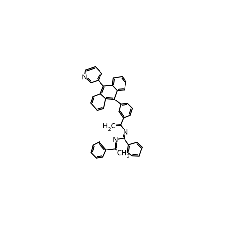 C=C(/N=C(\N=C(/C)c1ccccc1)c1ccccc1)c1cccc(-c2c3ccccc3c(-c3cccnc3)c3ccccc23)c1